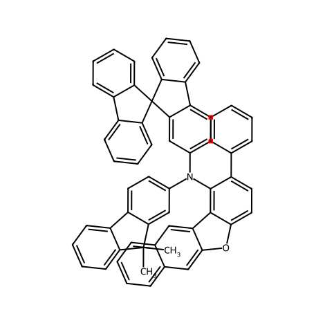 CC1(C)c2ccccc2-c2ccc(N(c3ccc4c(c3)C3(c5ccccc5-c5ccccc53)c3ccccc3-4)c3c(-c4ccccc4)ccc4oc5cc6ccccc6cc5c34)cc21